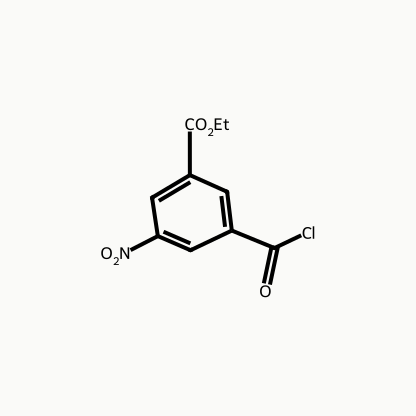 CCOC(=O)c1cc(C(=O)Cl)cc([N+](=O)[O-])c1